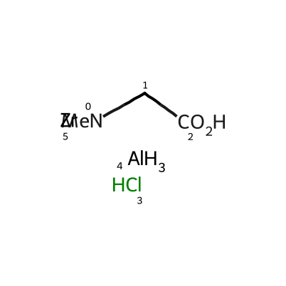 CNCC(=O)O.Cl.[AlH3].[Zr]